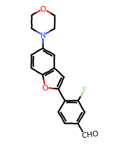 O=Cc1ccc(-c2cc3cc(N4CCOCC4)ccc3o2)c(F)c1